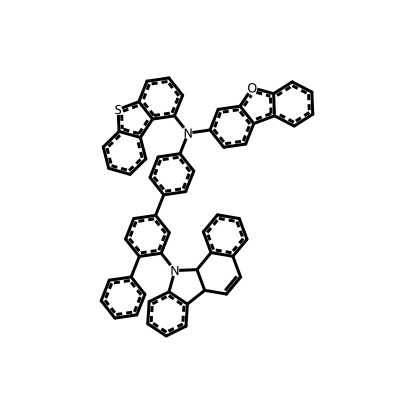 C1=CC2c3ccccc3N(c3cc(-c4ccc(N(c5ccc6c(c5)oc5ccccc56)c5cccc6sc7ccccc7c56)cc4)ccc3-c3ccccc3)C2c2ccccc21